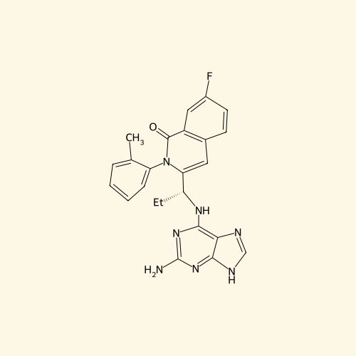 CC[C@@H](Nc1nc(N)nc2[nH]cnc12)c1cc2ccc(F)cc2c(=O)n1-c1ccccc1C